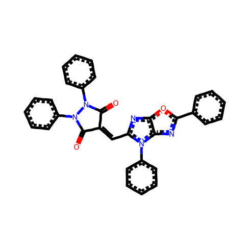 O=C1C(=Cc2nc3oc(-c4ccccc4)nc3n2-c2ccccc2)C(=O)N(c2ccccc2)N1c1ccccc1